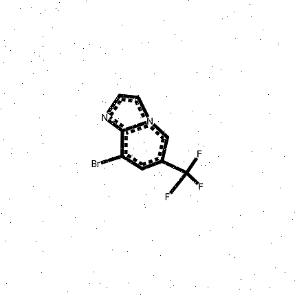 FC(F)(F)c1cc(Br)c2nc[c]n2c1